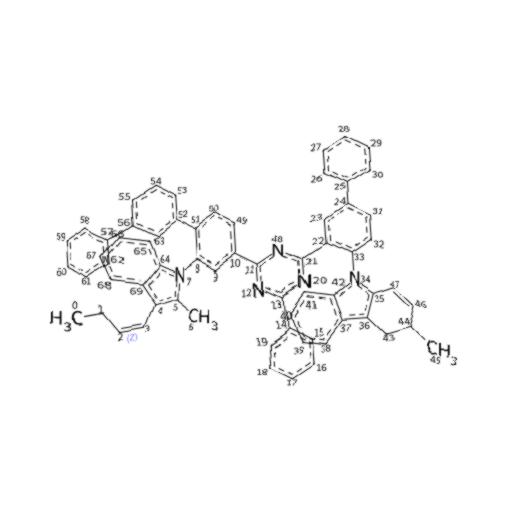 CC/C=C\c1c(C)n(-c2cc(-c3nc(-c4ccccc4)nc(-c4cc(-c5ccccc5)ccc4-n4c5c(c6ccccc64)CC(C)C=C5)n3)ccc2-c2cccc(-c3ccccc3)c2)c2ccccc12